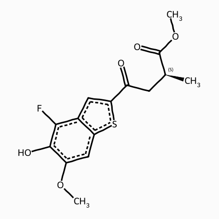 COC(=O)[C@@H](C)CC(=O)c1cc2c(F)c(O)c(OC)cc2s1